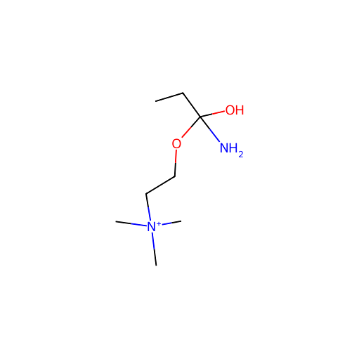 CCC(N)(O)OCC[N+](C)(C)C